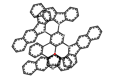 c1cncc(-c2ccccc2-c2c(-n3c4ccccc4c4cc5ccccc5cc43)c(-n3c4ccccc4c4cc5ccccc5cc43)nc(-n3c4ccccc4c4cc5ccccc5cc43)c2-n2c3ccccc3c3cc4ccccc4cc32)c1